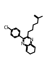 C=C(C)CCCCc1nc2c(nc1-c1ccc(Cl)cc1)=CCCC=2